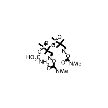 CNC(=O)O/N=C/C(C)(C)S(C)(=O)=O.CNC(=O)O/N=C/C(C)(C)S(C)(=O)=O.NC(=O)O